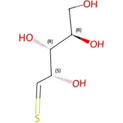 OC[C@@H](O)[C@@H](O)[C@H](O)C=S